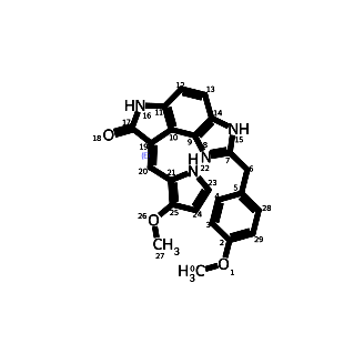 COc1ccc(Cc2nc3c4c(ccc3[nH]2)NC(=O)/C4=C/c2[nH]ccc2OC)cc1